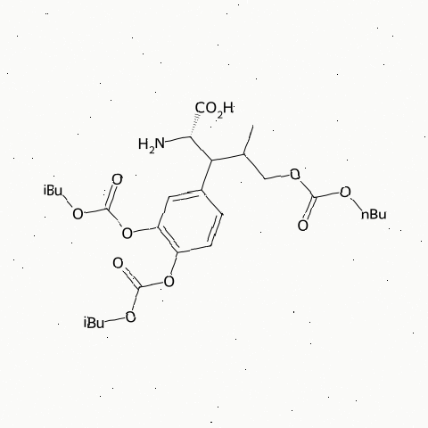 CCCCOC(=O)OCC(C)C(c1ccc(OC(=O)OC(C)CC)c(OC(=O)OC(C)CC)c1)[C@H](N)C(=O)O